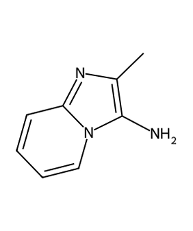 Cc1nc2ccccn2c1N